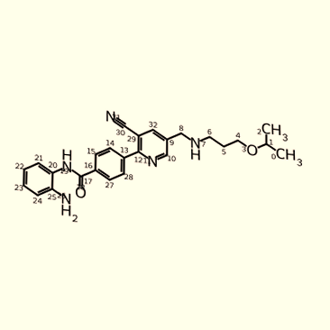 CC(C)OCCCNCc1cnc(-c2ccc(C(=O)Nc3ccccc3N)cc2)c(C#N)c1